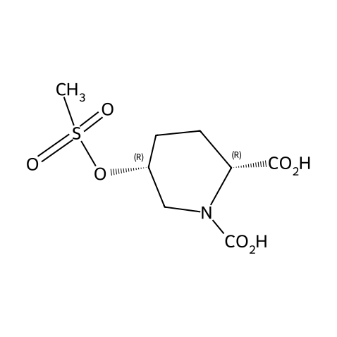 CS(=O)(=O)O[C@@H]1CC[C@H](C(=O)O)N(C(=O)O)C1